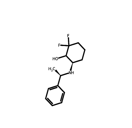 C[C@@H](N[C@@H]1CCCC(F)(F)C1O)c1ccccc1